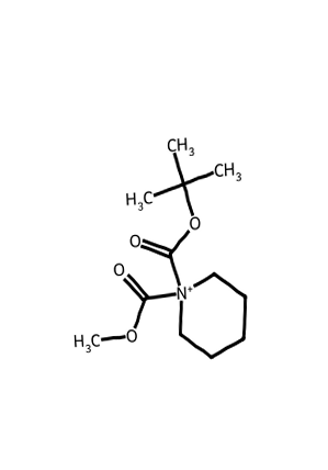 COC(=O)[N+]1(C(=O)OC(C)(C)C)CCCCC1